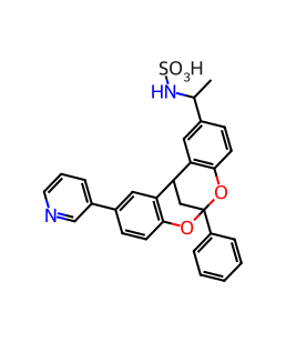 CC(NS(=O)(=O)O)c1ccc2c(c1)C1CC(c3ccccc3)(Oc3ccc(-c4cccnc4)cc31)O2